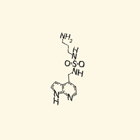 NCCCNS(=O)(=O)NCc1ccnc2[nH]ccc12